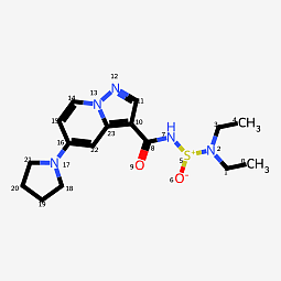 CCN(CC)[S+]([O-])NC(=O)c1cnn2ccc(N3CCCC3)cc12